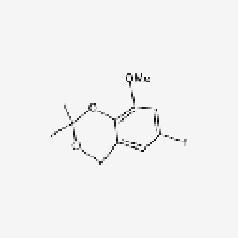 COc1cc(F)cc2c1OC(C)(C)OC2